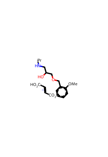 COc1ccccc1COCC(O)CNC(C)C.O=C(O)/C=C/C(=O)O